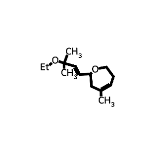 CCOC(C)(C)/C=C/C1CC(C)=CCCO1